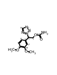 COc1ccc(C(COC(N)=O)n2ncnn2)cc1OC